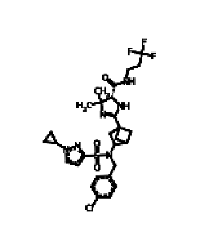 CC1(C)N=C(C23CC(C2)C(N(Cc2ccc(Cl)cc2)S(=O)(=O)c2ccn(C4CC4)n2)C3)N[C@H]1C(=O)NCCC(F)(F)F